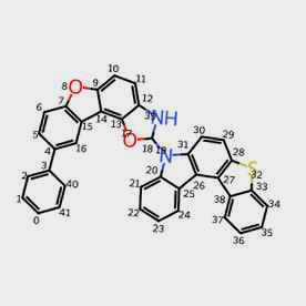 c1ccc(-c2ccc3oc4ccc5c(c4c3c2)OC(n2c3ccccc3c3c4c(ccc32)sc2ccccc24)N5)cc1